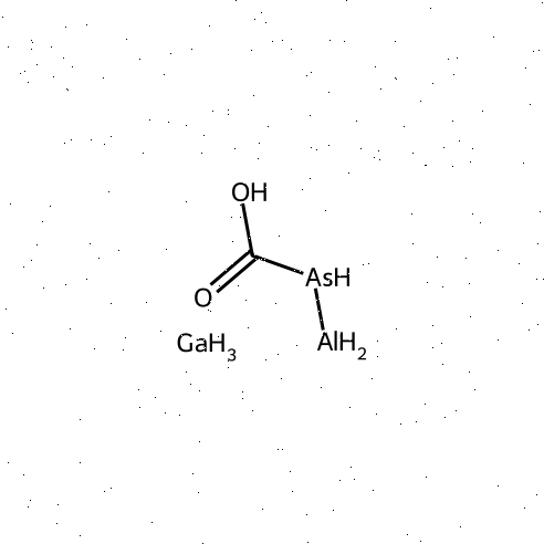 O=C(O)[AsH][AlH2].[GaH3]